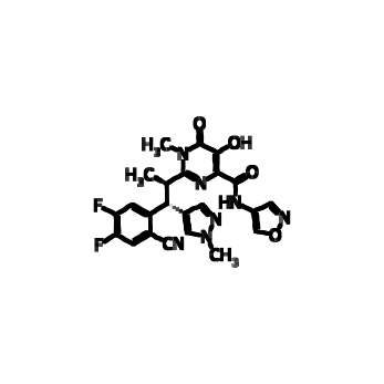 C[C@@H](c1nc(C(=O)Nc2cnoc2)c(O)c(=O)n1C)[C@H](c1cnn(C)c1)c1cc(F)c(F)cc1C#N